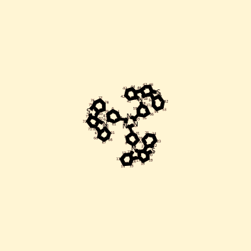 c1cc(-c2nc(-c3ccc(-n4c5ccccc5c5ccc6sc7ccccc7c6c54)cc3)nc(-c3cccc(-n4c5ccccc5c5ccc6sc7ccccc7c6c54)c3)n2)cc(-n2c3ccccc3c3ccc4sc5ccccc5c4c32)c1